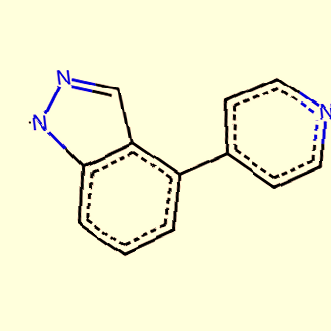 C1=N[N]c2cccc(-c3ccncc3)c21